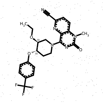 CCO[C@H]1CN(c2nc(=O)n(C)c3ccc(C#N)nc23)CC[C@@H]1Oc1ccc(C(F)(F)F)cc1